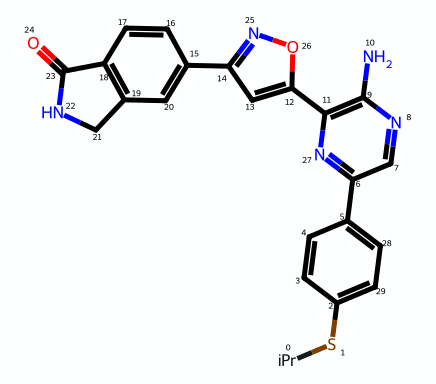 CC(C)Sc1ccc(-c2cnc(N)c(-c3cc(-c4ccc5c(c4)CNC5=O)no3)n2)cc1